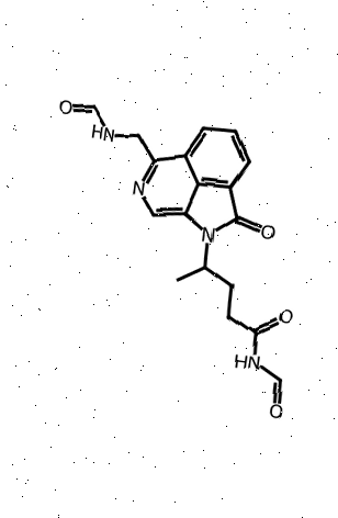 CC(CCC(=O)NC=O)N1C(=O)c2cccc3c(CNC=O)ncc1c23